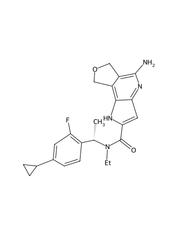 CCN(C(=O)c1cc2nc(N)c3c(c2[nH]1)COC3)[C@@H](C)c1ccc(C2CC2)cc1F